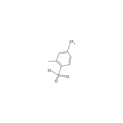 Cc1cc(C(F)(F)F)ccc1S(=O)(=O)Cl